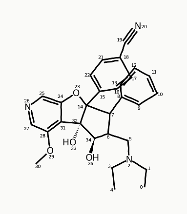 CCN(CC)CC1C(c2ccccc2)C2(c3ccc(C#N)cc3)Oc3cncc(OC)c3[C@]2(O)[C@@H]1O